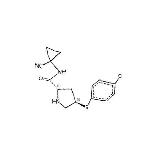 N#CC1(NC(=O)[C@@H]2C[C@@H](Sc3ccc(Cl)cc3)CN2)CC1